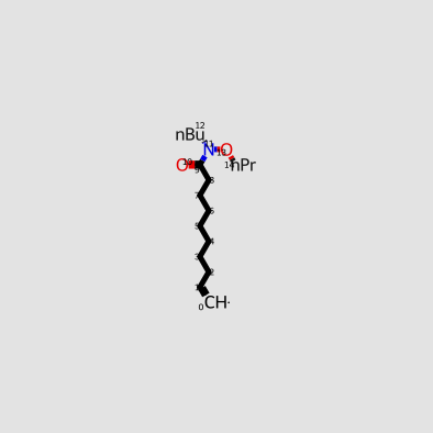 [CH]=CCCCCCCCC(=O)N(CCCC)OCCC